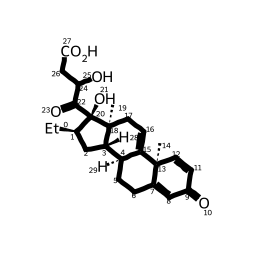 CC[C@@H]1C[C@H]2[C@@H]3CCC4=CC(=O)C=C[C@]4(C)C3=CC[C@]2(C)[C@@]1(O)C(=O)C(O)CC(=O)O